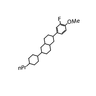 CCCC1CCC(C2CCC3CC(c4ccc(OC)c(F)c4)CCC3C2)CC1